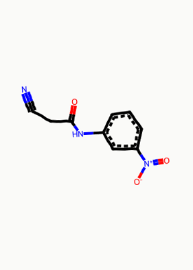 N#CCC(=O)Nc1cccc([N+](=O)[O-])c1